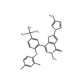 Cc1cn(-c2cc3c(=O)n(C)cc(-c4cc(C(C)(C)O)ccc4Oc4ccc(F)cc4F)c3s2)nn1